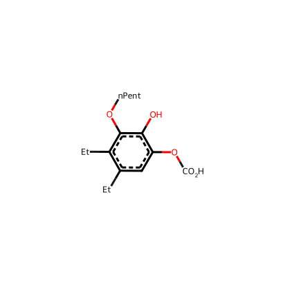 CCCCCOc1c(O)c(OC(=O)O)cc(CC)c1CC